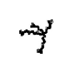 C(CSCC(CSCC1CS1)(CSCC1CS1)SCCSCC1CS1)SCC1CS1